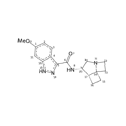 COc1ccc2c(C(=O)N[C@@H]3CN4CCC45CCC35)n[nH]c2c1